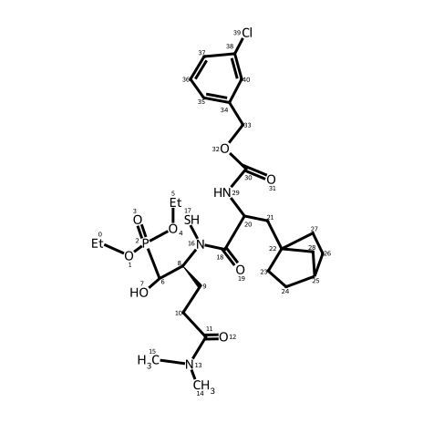 CCOP(=O)(OCC)C(O)[C@H](CCC(=O)N(C)C)N(S)C(=O)C(CC12CCC(CC1)C2)NC(=O)OCc1cccc(Cl)c1